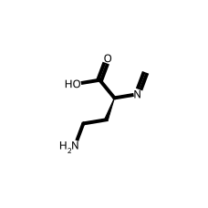 C=N[C@@H](CCN)C(=O)O